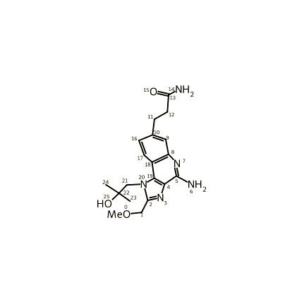 COCc1nc2c(N)nc3cc(CCC(N)=O)ccc3c2n1CC(C)(C)O